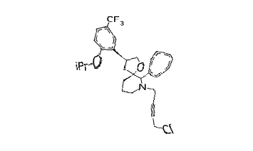 CC(C)Oc1ccc(C(F)(F)F)cc1[C@H]1CO[C@@]2(CCCN(CC#CCCl)C2c2ccccc2)C1